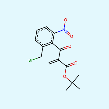 C=C(C(=O)OC(C)(C)C)C(=O)c1c(CBr)cccc1[N+](=O)[O-]